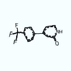 O=c1cc(-c2ccc(C(F)(F)F)cc2)cc[nH]1